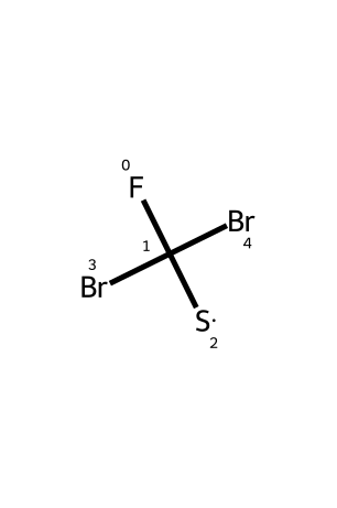 FC([S])(Br)Br